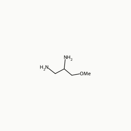 COCC(N)CN